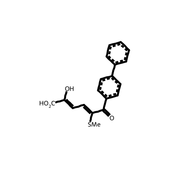 CSC(=CC=C(O)C(=O)O)C(=O)c1ccc(-c2ccccc2)cc1